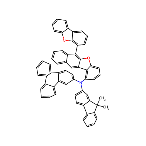 CC1(C)c2ccccc2-c2ccc(N(c3ccc4c5ccccc5c5ccccc5c4c3)c3cccc4oc5c(-c6cccc7c6oc6ccccc67)c6ccccc6cc5c34)cc21